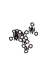 c1ccc(-c2nc(-c3ccccc3)nc(-c3ccc(-n4c5ccccc5c5c4ccc4c6ccccc6n(-c6ccccc6)c45)c(-c4cccc(-c5cc(-c6nc(-c7ccccc7)nc(-c7ccccc7)n6)ccc5-n5c6ccccc6c6c5ccc5c7ccccc7n(-c7ccccc7)c56)c4)c3)n2)cc1